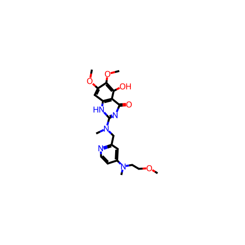 COCCN(C)c1ccnc(CN(C)c2nc(=O)c3c(O)c(OC)c(OC)cc3[nH]2)c1